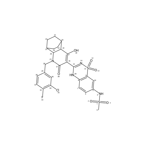 CS(=O)(=O)Nc1ccc2c(c1)S(=O)(=O)N=C(C1=C(O)C3C4CCC(CC4)C3N(Cc3ccc(F)c(Cl)c3)C1=O)N2